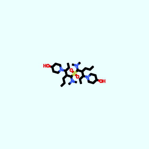 CCCC(C(CC)N1CCC(O)CC1)C(N(C)C)S(=O)(=O)C(C(CCC)C(CC)N1CCC(O)CC1)N(C)C